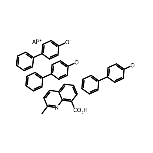 Cc1ccc2cccc(C(=O)O)c2n1.[Al+3].[O-]c1ccc(-c2ccccc2)cc1.[O-]c1ccc(-c2ccccc2)cc1.[O-]c1ccc(-c2ccccc2)cc1